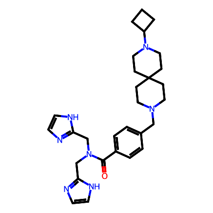 O=C(c1ccc(CN2CCC3(CC2)CCN(C2CCC2)CC3)cc1)N(Cc1ncc[nH]1)Cc1ncc[nH]1